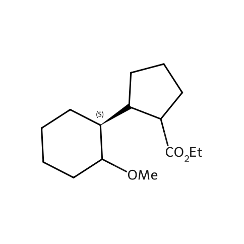 CCOC(=O)C1CCCC1[C@@H]1CCCCC1OC